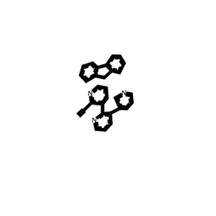 C#Cc1ncccc1-c1ncccc1-c1cccnc1.c1ccc2c(c1)Cc1ccccc1-2